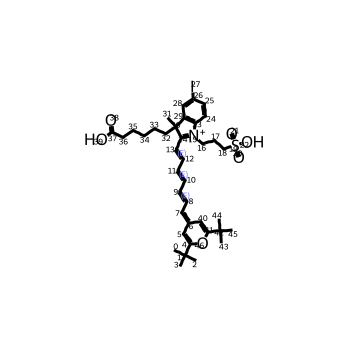 CC(C)(C)C1=CC(=C/C=C/C=C/C=C/C2=[N+](CCCS(=O)(=O)O)c3ccc(I)cc3C2(C)CCCCCC(=O)O)C=C(C(C)(C)C)O1